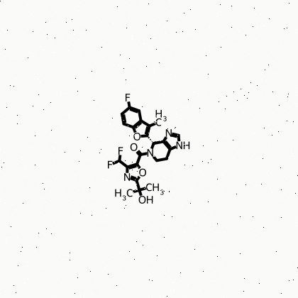 Cc1c([C@@H]2c3nc[nH]c3CCN2C(=O)c2oc(C(C)(C)O)nc2C(F)F)oc2ccc(F)cc12